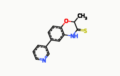 CC1Oc2ccc(-c3cccnc3)cc2NC1=S